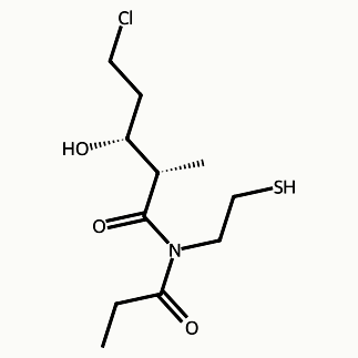 CCC(=O)N(CCS)C(=O)[C@@H](C)[C@H](O)CCCl